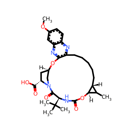 COc1ccc2nc3c(nc2c1)O[C@@H]1C[C@@H](C(=O)O)N(C1)C(=O)[C@H](C(C)(C)C)NC(=O)O[C@@H]1C(C)[C@H]1CCCCC3